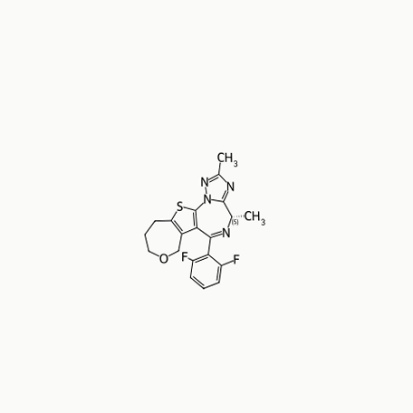 Cc1nc2n(n1)-c1sc3c(c1C(c1c(F)cccc1F)=N[C@H]2C)COCCC3